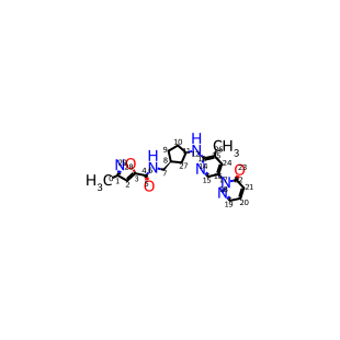 Cc1cc(C(=O)NC[C@H]2CC[C@@H](Nc3ncc(-n4ncccc4=O)cc3C)C2)on1